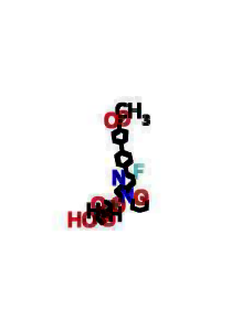 COC(=O)c1ccc(-c2ccc(-c3nc4cc(O[C@@H]5CO[C@H]6[C@@H]5OC[C@H]6O)n(C5CCCCO5)c4cc3F)cc2)cc1